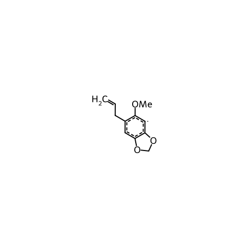 C=CCc1cc2c([c]c1OC)OCO2